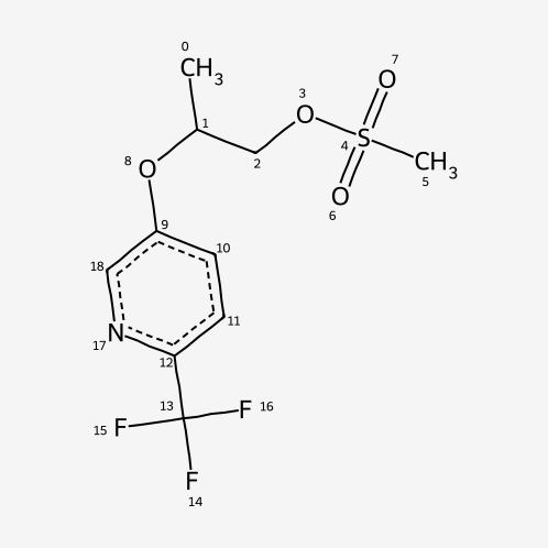 CC(COS(C)(=O)=O)Oc1ccc(C(F)(F)F)nc1